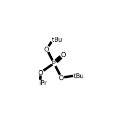 CC(C)OP(=O)(OC(C)(C)C)OC(C)(C)C